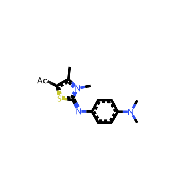 CC(=O)c1sc(=Nc2ccc(N(C)C)cc2)n(C)c1C